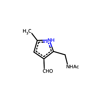 CC(=O)NCc1[nH]c(C)cc1C=O